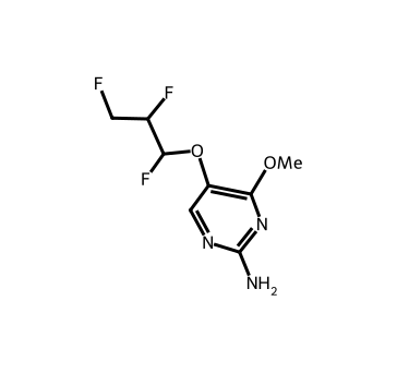 COc1nc(N)ncc1OC(F)C(F)CF